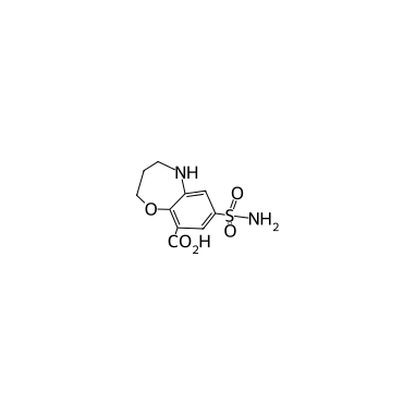 NS(=O)(=O)c1cc2c(c(C(=O)O)c1)OCCCN2